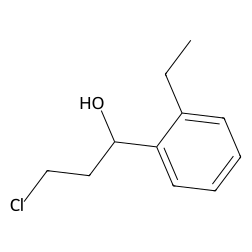 CCc1ccccc1C(O)CCCl